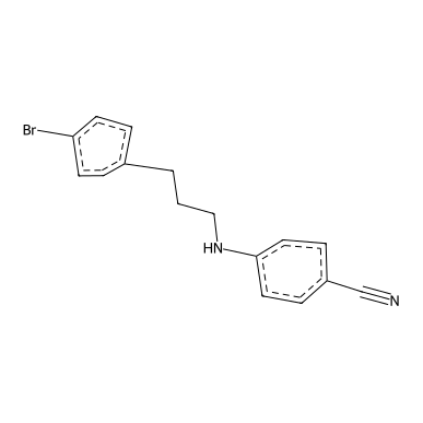 N#Cc1ccc(NCCCc2ccc(Br)cc2)cc1